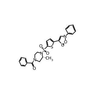 C[C@@H]1CN(C(=O)c2ccccc2)CCN1S(=O)(=O)c1ccc(C2=CN(c3ccccc3)OO2)s1